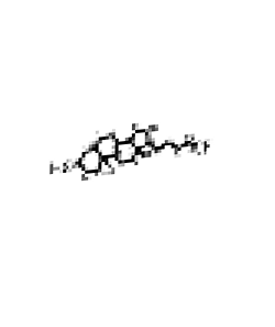 CC12CCC3C(CCC4CC(O)CCC43C)C1CCC2CCCCC(F)(F)F